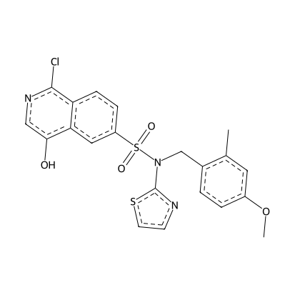 COc1ccc(CN(c2nccs2)S(=O)(=O)c2ccc3c(Cl)ncc(O)c3c2)c(C)c1